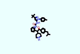 Cc1ccc(-n2nc(C(C)(C)C)cc2NC(=O)Nc2ccccc2C(C(=O)c2ccc(CC(C)C)cc2)C2CCNCC2)cc1